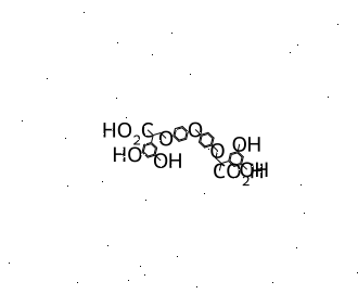 O=C(O)C(COc1ccc(Oc2ccc(OCC(C(=O)O)c3cc(O)cc(O)c3)cc2)cc1)c1cc(O)cc(O)c1